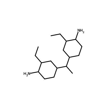 CCC1CC(C(C)C2CCC(N)C(CC)C2)CCC1N